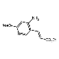 CCOC(=O)/C=C/c1cnc(OC)cc1N